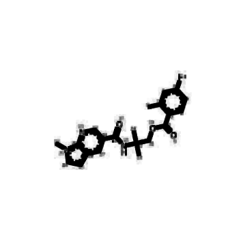 Cc1cc(F)ccc1C(=O)OCC(C)(C)NC(=O)c1cnc2c(ccn2C)c1